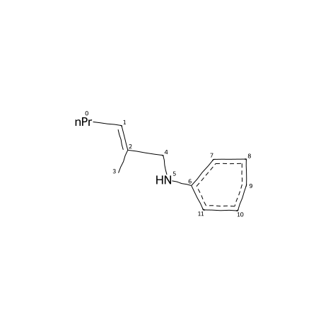 CCC/C=C(\C)CNc1ccccc1